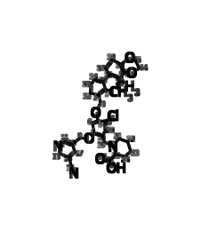 Cc1c(COc2cc(OCc3cncc(C#N)c3)c(CN3CCCCC3C(=O)O)cc2Cl)cccc1-c1ccc2c(c1C)OCCO2